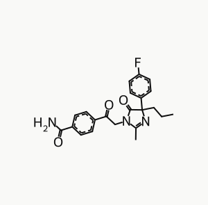 CCCC1(c2ccc(F)cc2)N=C(C)N(CC(=O)c2ccc(C(N)=O)cc2)C1=O